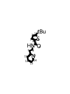 CC(C)(C)c1ccc(C(=O)NCCc2ccccn2)s1